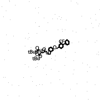 CC(C)(C)OC(=O)NC(CC(=O)N1CCc2cc(OCc3ccc(-c4ccccc4)c(C(F)(F)F)c3)ccc21)C(=O)OC(C)(C)C